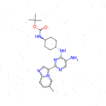 Cc1ccc2ncc(-c3ncc(N)c(N[C@H]4CC[C@H](NC(=O)OC(C)(C)C)CC4)n3)n2c1